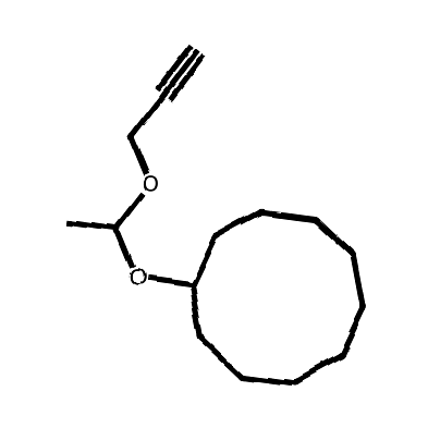 C#CCOC(C)OC1CCCCCCCCC1